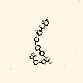 CN1CCN([C@@H]2CCCN(c3cnc(C(N)=O)c(Nc4ccc(C5CCN(CC6CCN(c7cnc(C(=O)NC8CCC(=O)NC8=O)nc7)CC6)CC5)cc4)n3)C2)C1=O